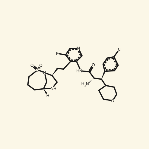 N[C@H](C(=O)Nc1cncc(F)c1CC[C@H]1CN[C@@H]2CCCS(=O)(=O)N1C2)[C@@H](c1ccc(Cl)cc1)C1CCOCC1